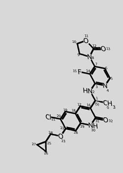 C[C@H](Nc1nccc(N2CCOC2=O)c1F)c1cc2cc(Cl)c(OCC3CC3)cc2[nH]c1=O